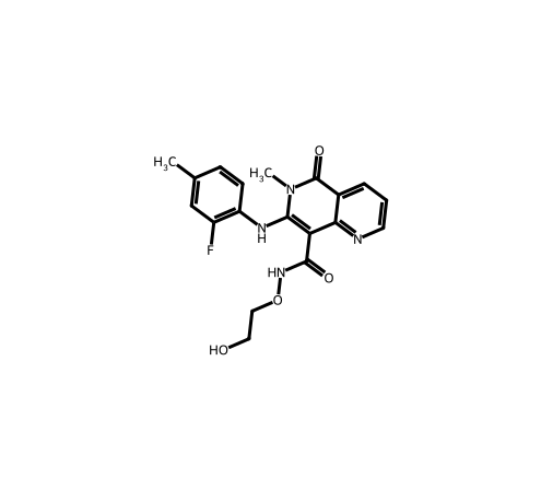 Cc1ccc(Nc2c(C(=O)NOCCO)c3ncccc3c(=O)n2C)c(F)c1